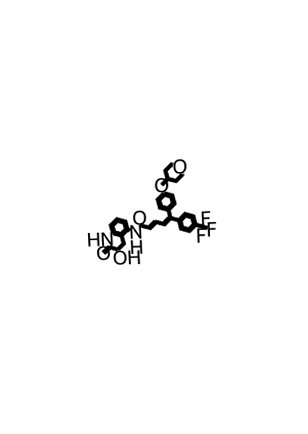 O=C(/C=C/C=C(\c1ccc(OC2CCOCC2)cc1)c1ccc(C(F)(F)F)cc1)Nc1cccc2c1CC(O)C(=O)N2